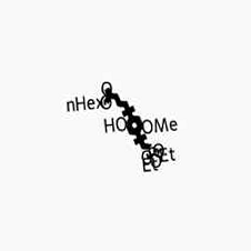 CCCCCCOC(=O)CCCC(C)(C)c1cc(OC)c(C(C)(C)CCP(=O)(OCC)OCC)cc1O